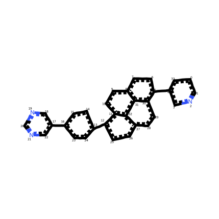 c1cncc(-c2ccc3ccc4c(-c5ccc(-c6cncnc6)cc5)ccc5ccc2c3c54)c1